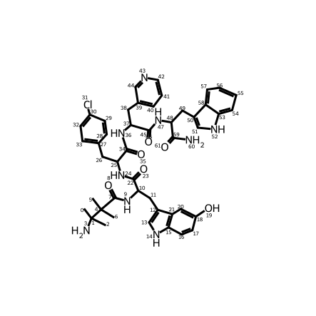 CC(C)(N)C(C)(C)C(=O)NC(Cc1c[nH]c2ccc(O)cc12)C(=O)NC(Cc1ccc(Cl)cc1)C(=O)NC(Cc1cccnc1)C(=O)NC(Cc1c[nH]c2ccccc12)C(N)=O